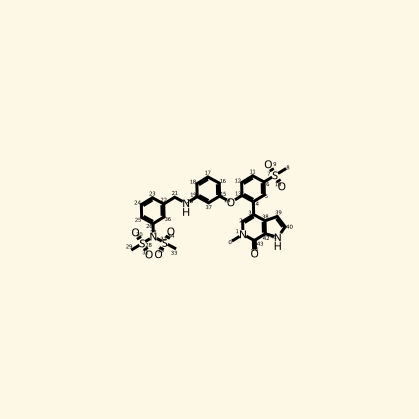 Cn1cc(-c2cc(S(C)(=O)=O)ccc2Oc2cccc(NCc3cccc(N(S(C)(=O)=O)S(C)(=O)=O)c3)c2)c2cc[nH]c2c1=O